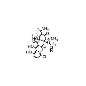 CN(C)[C@@H]1C(=O)C(C(N)=O)=C(O)[C@@]2(O)C(=O)C3=C(O)c4c(O)ccc(Cl)c4C[C@H]3C[C@@H]12.Cl